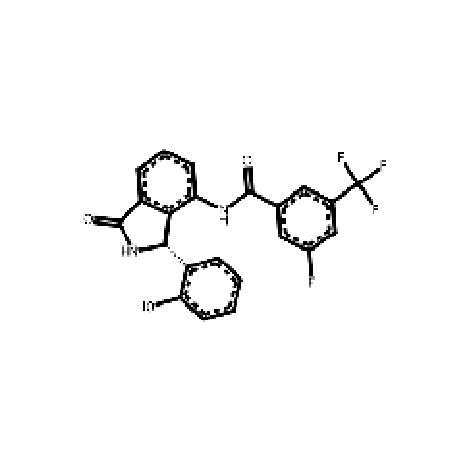 O=C(Nc1cccc2c1[C@H](c1ccccc1O)NC2=O)c1cc(F)cc(C(F)(F)F)c1